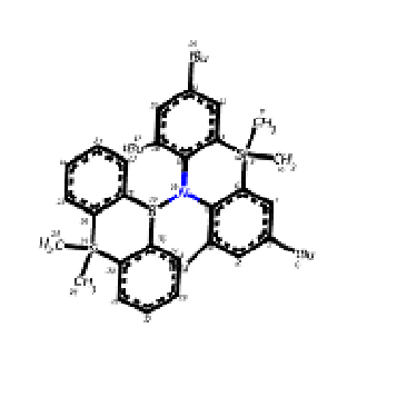 CC(C)(C)c1cc(C(C)(C)C)c2c(c1)[Si](C)(C)c1cc(C(C)(C)C)cc(C(C)(C)C)c1N2B1c2ccccc2[Si](C)(C)c2ccccc21